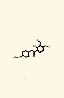 CCCCCC1CCC(CC(=O)c2ccc(OCC)c(CF)c2O)CC1